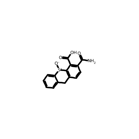 NC(=O)c1ccc2c(c1C(=O)O)[S+]([O-])c1ccccc1C2